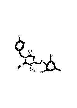 C[C@@H]1CN(COc2c(Br)cc(Br)cc2Br)[C@@H](C)C(=C=O)N1Cc1ccc(F)cc1